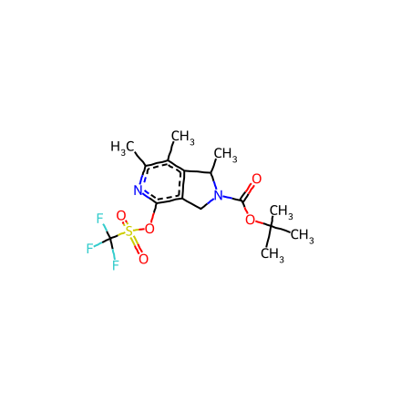 Cc1nc(OS(=O)(=O)C(F)(F)F)c2c(c1C)C(C)N(C(=O)OC(C)(C)C)C2